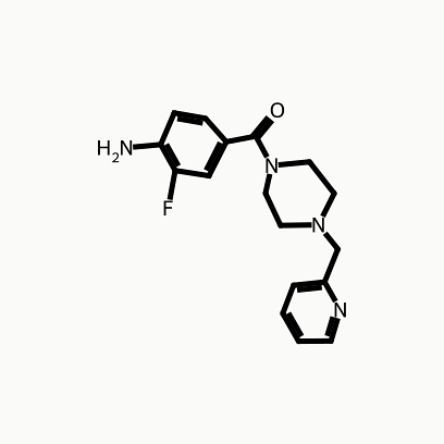 Nc1ccc(C(=O)N2CCN(Cc3ccccn3)CC2)cc1F